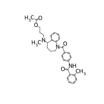 CC(=O)OCCCN(C)C1CCCN(C(=O)c2ccc(NC(=O)c3ccccc3C)cc2)c2ccccc21